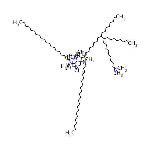 CCCCCCCCCCCCCCCCCCCCCCN(C)C(CN(C)C)(C(CCCCCCCCC(CCCCCCCC)C(CCCCCCCC)CCCCCCCCCN(C)C)N(C)C)C(CN(C)CCCCCCCCCCCCCCCCCCCC)N(C)C